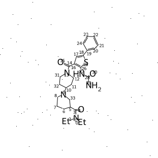 CCN(CC)C(=O)C1CCCN(C2CCN(C(=O)c3cc(-c4ccccc4)sc3NC(N)=O)CC2)C1